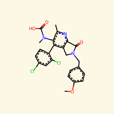 COc1ccc(CN2Cc3c(nc(C)c(N(C)C(=O)O)c3-c3ccc(Cl)cc3Cl)C2=O)cc1